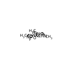 CCOc1nc(N2CC[C@@H](CNC)C2)ncc1C(=O)Nc1cc(F)c2nc(C)cn2c1